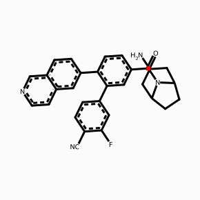 N#Cc1ccc(-c2cc(C(=O)N3C4CCC3CC(N)C4)ccc2-c2ccc3cnccc3c2)cc1F